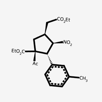 CCOC(=O)C[C@@H]1C[C@@](C(C)=O)(C(=O)OCC)[C@@H](c2cccc(C)c2)[C@@H]1[N+](=O)[O-]